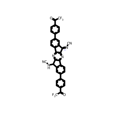 N#C/N=C1\c2cc(-c3ccc(C(=O)C(F)(F)F)cc3)ccc2-c2nc3c(nc21)-c1ccc(-c2ccc(C(=O)C(F)(F)F)cc2)cc1C3NC#N